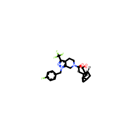 O=C(O)[C@H]1C2C3C[C@H]1C(CC(=O)N1CCc4c(C(F)(F)F)nn(Cc5ccc(F)cc5)c4C1)C32